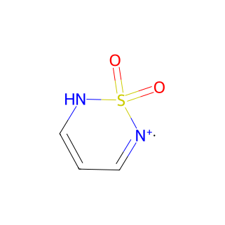 O=S1(=O)[N+]=CC=CN1